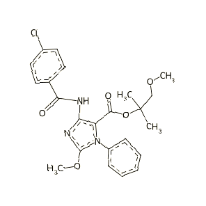 COCC(C)(C)OC(=O)c1c(NC(=O)c2ccc(Cl)cc2)nc(OC)n1-c1ccccc1